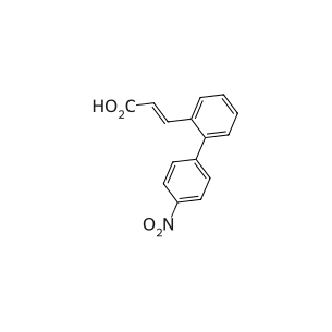 O=C(O)C=Cc1ccccc1-c1ccc([N+](=O)[O-])cc1